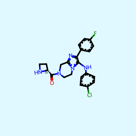 O=C([C@@H]1CCN1)N1CCn2c(nc(-c3ccc(F)cc3)c2Nc2ccc(Cl)cc2)C1